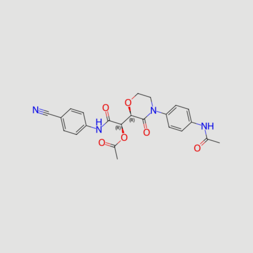 CC(=O)Nc1ccc(N2CCO[C@H]([C@@H](OC(C)=O)C(=O)Nc3ccc(C#N)cc3)C2=O)cc1